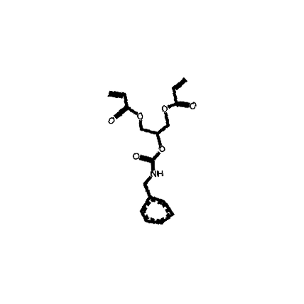 C=CC(=O)OCC(COC(=O)C=C)OC(=O)NCc1ccccc1